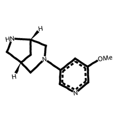 COc1cncc(N2C[C@@H]3CN[C@@H](C3)C2)c1